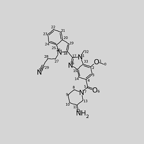 COc1cc(C(=O)N2CCCC(N)C2)cc2nc(-c3cc4ccccc4n3CCC#N)n(C)c12